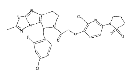 Cc1nn2c3c(nc2s1)CCN(C(=O)COc1ccc(N2CCCS2(=O)=O)nc1Cl)C3c1ccc(Cl)cc1F